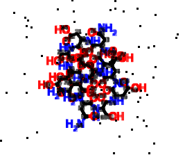 CC(=O)N[C@H](CC(=O)O)C(=O)NC(CC(N)=O)C(=O)N[C@H](CC(=O)O)C(=O)NC(CO)C(=O)N[C@H](CCC(=O)O)C(=O)NC(CC(=O)O)C(=O)N[C@H](CC(N)=O)C(=O)NC(CO)C(=O)N[C@H](CC(=O)O)C(=O)NC(CCC(=O)O)C(=O)N[C@H](CCC(=O)O)C(=O)NC(CC(N)=O)C(N)=O